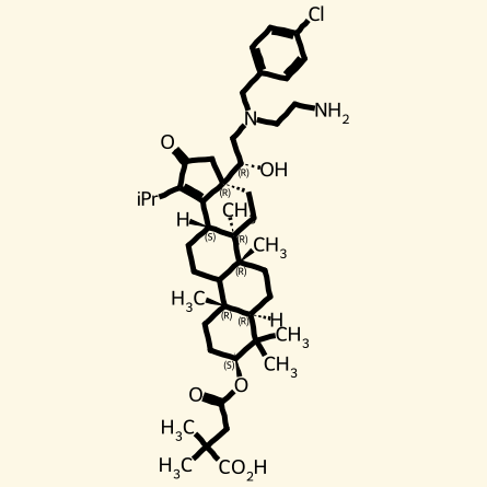 CC(C)C1=C2[C@H]3CCC4[C@@]5(C)CC[C@H](OC(=O)CC(C)(C)C(=O)O)C(C)(C)[C@@H]5CC[C@@]4(C)[C@]3(C)CC[C@@]2([C@@H](O)CN(CCN)Cc2ccc(Cl)cc2)CC1=O